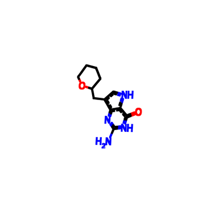 Nc1nc2c(CC3CCCCO3)c[nH]c2c(=O)[nH]1